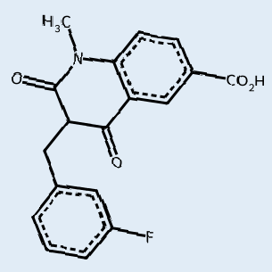 CN1C(=O)C(Cc2cccc(F)c2)C(=O)c2cc(C(=O)O)ccc21